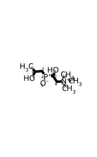 CC(O)C/[P+]([O-])=C(\O)C[N+](C)(C)C